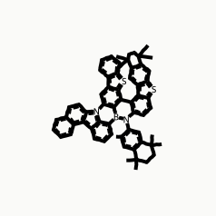 Cc1cc2c(cc1N1B3c4c(cc5c(sc6ccccc65)c4-c4c1ccc1sc5cc6c(cc5c41)C(C)(C)CCC6(C)C)-n1c4ccc5ccccc5c4c4cccc3c41)C(C)(C)CCC2(C)C